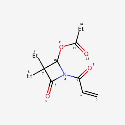 C=CC(=O)N1C(=O)C(CC)(CC)C1OC(=O)CC